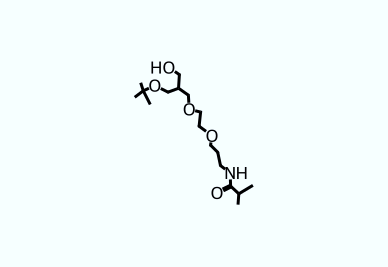 CC(C)C(=O)NCCCOCCOCC(CO)COC(C)(C)C